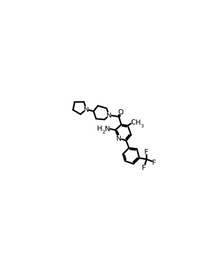 Cc1cc(-c2cccc(C(F)(F)F)c2)nc(N)c1C(=O)N1CCC(N2CCCC2)CC1